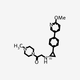 COc1ccc(-c2ccc(C3C[C@@H]3NCC(=O)N3CCN(C)CC3)cc2)cn1